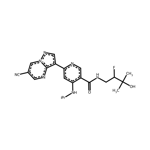 CC(C)Nc1cc(-c2cnn3cc(C#N)cnc23)ncc1C(=O)NCC(F)C(C)(C)O